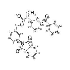 CC(C(=O)OCc1cccc(N2C(=O)c3ccccc3C2=O)c1)c1cccc(C(=O)c2ccccc2)c1